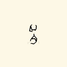 C1OC2CC1N(C1C[C@H]3CNC1C3)C2